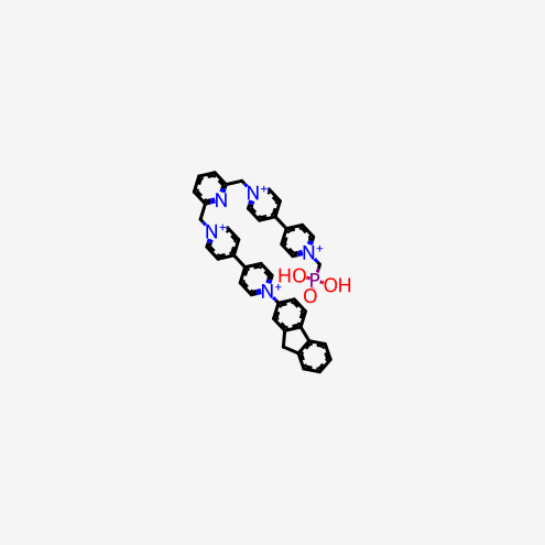 O=P(O)(O)C[n+]1ccc(-c2cc[n+](Cc3cccc(C[n+]4ccc(-c5cc[n+](-c6ccc7c(c6)Cc6ccccc6-7)cc5)cc4)n3)cc2)cc1